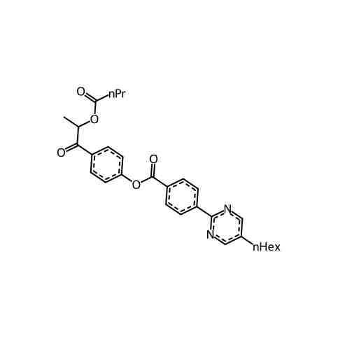 CCCCCCc1cnc(-c2ccc(C(=O)Oc3ccc(C(=O)C(C)OC(=O)CCC)cc3)cc2)nc1